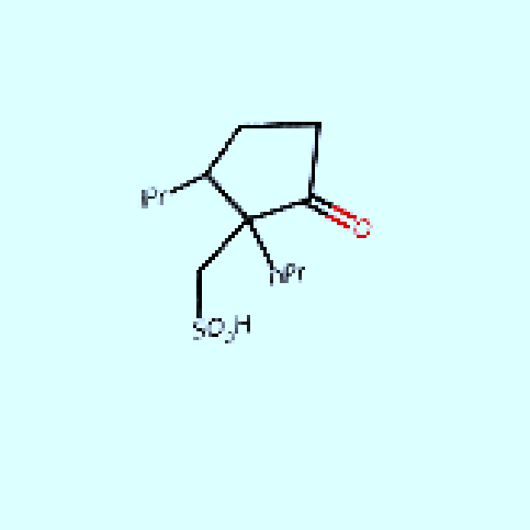 CCCC1(CS(=O)(=O)O)C(=O)CCC1C(C)C